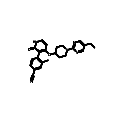 CCc1cnc(N2CCC(Oc3cc[nH]c(=O)c3-c3ccc(C#N)cc3F)CC2)nc1